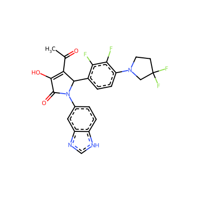 CC(=O)C1=C(O)C(=O)N(c2ccc3[nH]cnc3c2)C1c1ccc(N2CCC(F)(F)C2)c(F)c1F